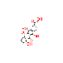 O=C1c2cccc(O)c2C(=O)c2c(O)c3c(c(O)c21)CC(C(=O)CO)CC3